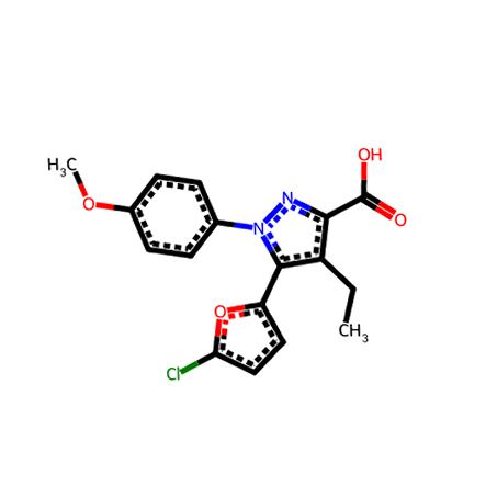 CCc1c(C(=O)O)nn(-c2ccc(OC)cc2)c1-c1ccc(Cl)o1